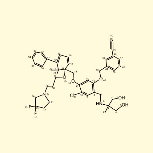 CC(CO)(CO)NCc1cc(Cl)c(OCC2(OCCCN3CCC(F)(F)C3)C=CC=C(c3ccccc3)C2(C)C)cc1OCc1cncc(C#N)c1